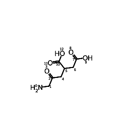 NCC(=O)CC(CC(=O)O)C(=O)O